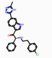 Cc1nnc(-c2ccc3c(C(=O)[C@@H](NCCc4ccc(Cl)cc4)c4ccccc4)c[nH]c3c2)[nH]1